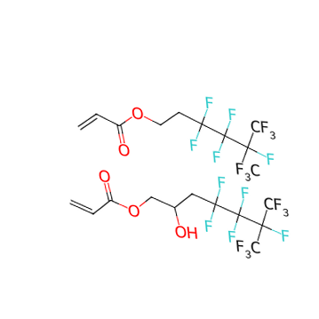 C=CC(=O)OCC(O)CC(F)(F)C(F)(F)C(F)(C(F)(F)F)C(F)(F)F.C=CC(=O)OCCC(F)(F)C(F)(F)C(F)(C(F)(F)F)C(F)(F)F